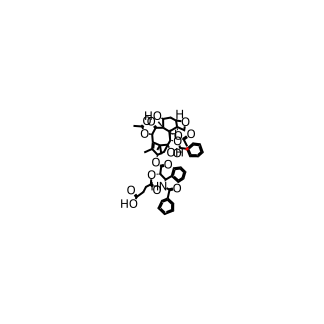 CC(=O)O[C@H]1C(=O)[C@@]2(C)[C@H]([C@H](OC(=O)c3ccccc3)[C@]3(O)C[C@H](OC(=O)[C@@H](OC(=O)CCC(=O)O)[C@@H](NC(=O)c4ccccc4)c4ccccc4)C(C)=C1C3(C)C)[C@]1(OC(C)=O)CO[C@@H]1C[C@@H]2O